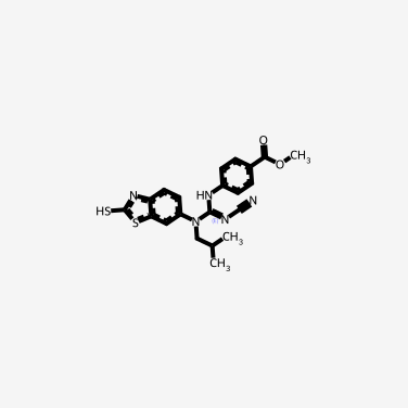 COC(=O)c1ccc(N/C(=N\C#N)N(CC(C)C)c2ccc3nc(S)sc3c2)cc1